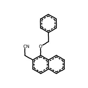 N#CCc1ccc2ccccc2c1OCc1ccccc1